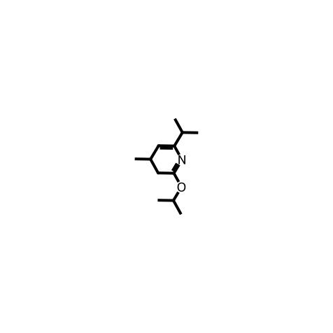 CC1C=C(C(C)C)N=C(OC(C)C)C1